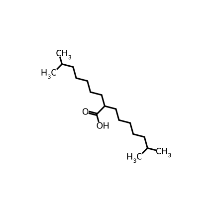 CC(C)CCCCCC(CCCCCC(C)C)C(=O)O